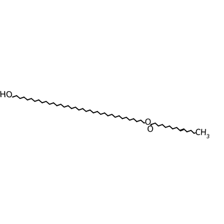 CCCCC=CCCCCCCCC(=O)OCCCCCCCCCCCCCCCCCCCCCCCCCCCCCCCCCCCCCO